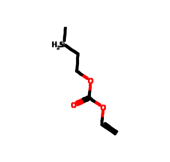 C=COC(=O)OCC[SiH2]C